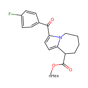 CCCCCCOC(=O)C1CCCCn2c(C(=O)c3ccc(F)cc3)ccc21